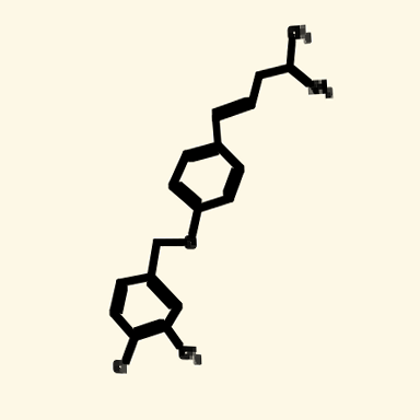 CC(N)CC=Cc1ccc(OCc2ccc(Cl)c(C(F)(F)F)c2)cc1